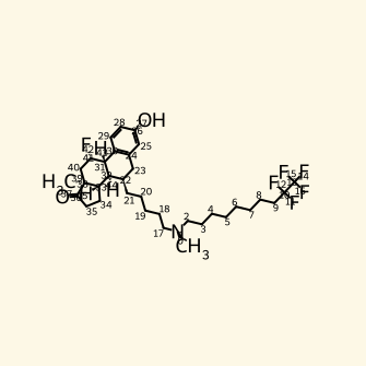 CN(CCCCCCCCC(F)(F)C(F)(F)F)CCCCC[C@@H]1Cc2cc(O)ccc2[C@@H]2[C@@H]1[C@@H]1CCC(=O)[C@@]1(C)C[C@@H]2F